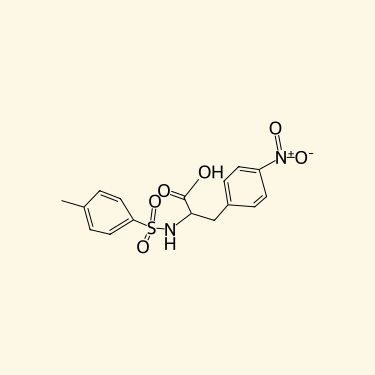 Cc1ccc(S(=O)(=O)NC(Cc2ccc([N+](=O)[O-])cc2)C(=O)O)cc1